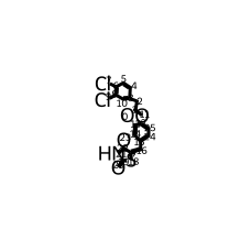 O=C(Cc1ccc(Cl)c(Cl)c1)Oc1ccc(C=C2SC(=O)NC2=O)cc1